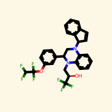 O[C@H](CN1c2ccccc2N(C2C=Cc3ccccc32)CC1c1cccc(OC(F)(F)C(F)F)c1)C(F)(F)F